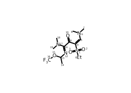 CCS(=O)(=O)/C(=C/N(C)C)C(=O)/C(=N/C(C)OC(F)(F)F)N(C)C